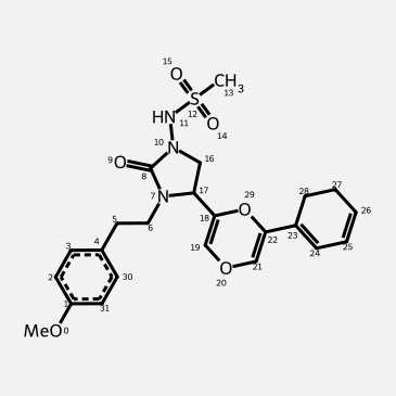 COc1ccc(CCN2C(=O)N(NS(C)(=O)=O)CC2C2=COC=C(C3=CC=CCC3)O2)cc1